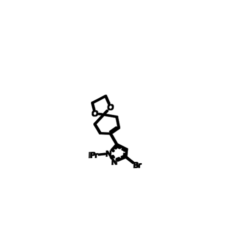 CC(C)n1nc(Br)cc1C1=CCC2(CC1)OCCO2